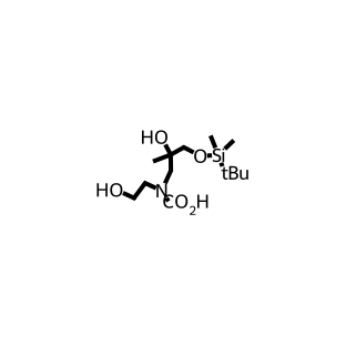 CC(O)(CO[Si](C)(C)C(C)(C)C)CN(CCO)C(=O)O